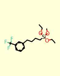 CCO[Si](CCCCc1cccc(C(F)(F)F)c1)(OC)OCC